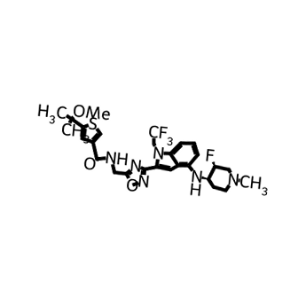 COC(C)(C)c1cc(C(=O)NCc2nc(-c3cc4c(N[C@@H]5CCN(C)C[C@@H]5F)cccc4n3CC(F)(F)F)no2)cs1